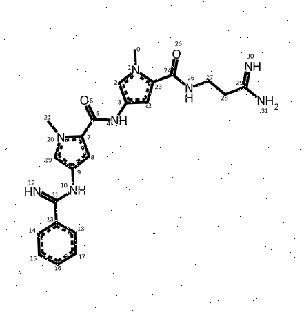 Cn1cc(NC(=O)c2cc(NC(=N)c3ccccc3)cn2C)cc1C(=O)NCCC(=N)N